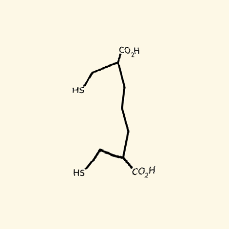 O=C(O)C(CS)CCCC(CS)C(=O)O